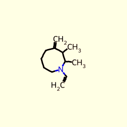 C=CN1CCCCC(=C)C(C)C1C